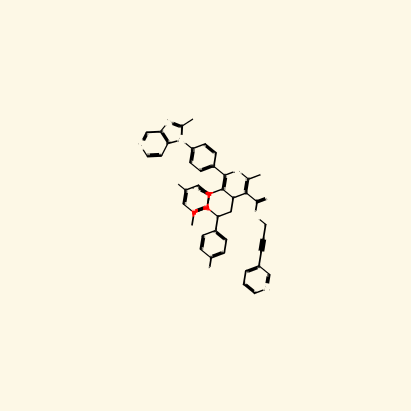 CCOC(=O)C1=C(c2ccc(-n3c(C)nc4cnccc43)cc2)NC(C)=C(C(=O)OCC#Cc2cccnc2)C1CC(c1ccc(F)cc1)c1ccc(F)cc1